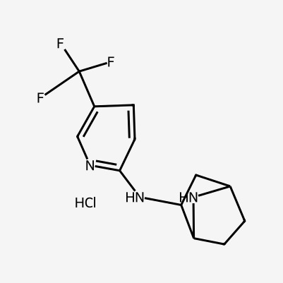 Cl.FC(F)(F)c1ccc(NC2CC3CCC2N3)nc1